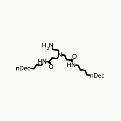 CCCCCCCCCCCCCCNC(=O)CCN(CCN)CCC(=O)NCCCCCCCCCCCCC